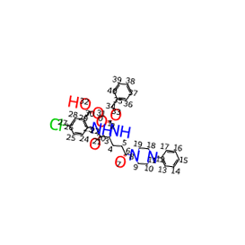 O=C(NC(CCC(=O)N1CCN(c2ccccc2)CC1)C(=O)Nc1ccc(Cl)cc1C(=O)O)OCc1ccccc1